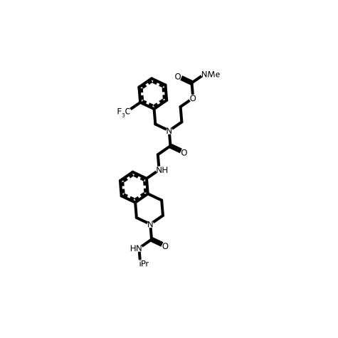 CNC(=O)OCCN(Cc1ccccc1C(F)(F)F)C(=O)CNc1cccc2c1CCN(C(=O)NC(C)C)C2